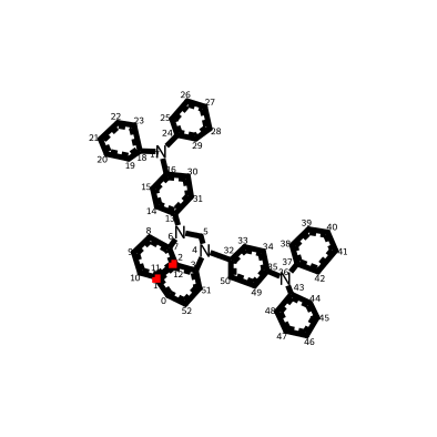 c1ccc(N(CN(c2ccccc2)c2ccc(N(c3ccccc3)c3ccccc3)cc2)c2ccc(N(c3ccccc3)c3ccccc3)cc2)cc1